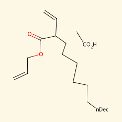 C=CCOC(=O)C(C=C)CCCCCCCCCCCCCCCC.CC(=O)O